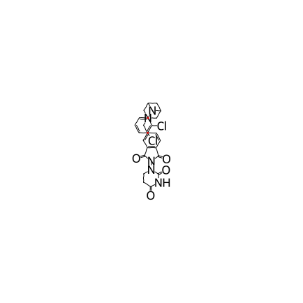 O=C1CCN(N2C(=O)c3ccc(CN4CC5CC(C4)N5c4cccc(Cl)c4Cl)cc3C2=O)C(=O)N1